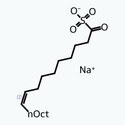 CCCCCCCC/C=C\CCCCCCCC(=O)S(=O)(=O)[O-].[Na+]